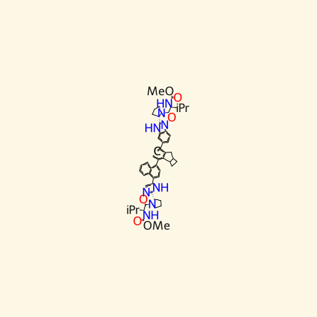 COC(=O)N[C@H](C(=O)N1CCC[C@H]1c1ncc(-c2ccc(-c3ccc(-c4ccc5nc([C@@H]6CCCN6C(=O)[C@@H](NC(=O)OC)C(C)C)[nH]c5c4)c4c3C3CCC3C4)c3ccccc23)[nH]1)C(C)C